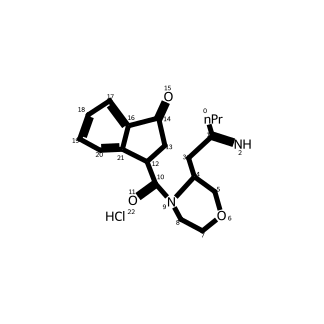 CCCC(=N)CC1COCCN1C(=O)C1CC(=O)c2ccccc21.Cl